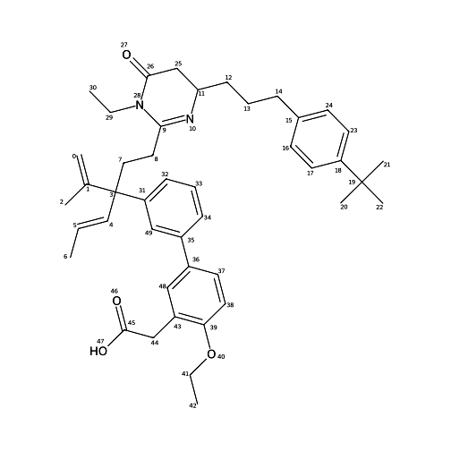 C=C(C)C(/C=C/C)(CCC1=NC(CCCc2ccc(C(C)(C)C)cc2)CC(=O)N1CC)c1cccc(-c2ccc(OCC)c(CC(=O)O)c2)c1